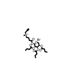 C#CC[N+](C)(C)CCCC(=O)O[C@H]1OC[C@H](OC(=O)CCC)[C@H](OC(=O)CCC)[C@H]1OC(=O)CCC.[Br-]